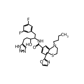 CCCCN1CCSc2c(-c3ncco3)cc(C(=O)NC(Cc3cc(F)cc(F)c3)C(O)CCc3cnn[nH]3)cc21